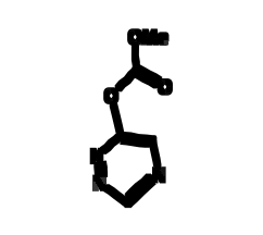 COC(=O)Oc1cncnn1